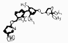 Cc1cc(OC[C@H]2COC(C)(C)O2)cc(C)c1-c1cccc(COc2ccc(C=O)cn2)c1C